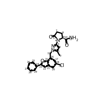 Cc1cc(N2C(=O)CC[C@H]2C(N)=O)nn1Cc1cc(Cl)cc2cc(-c3ccccc3)oc12